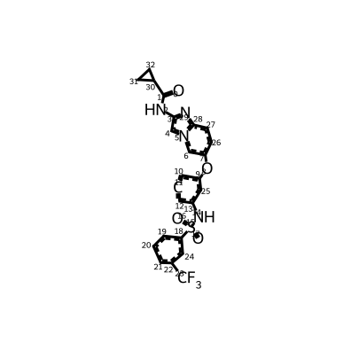 O=C(Nc1cn2cc(Oc3cccc(NS(=O)(=O)c4cccc(C(F)(F)F)c4)c3)ccc2n1)C1CC1